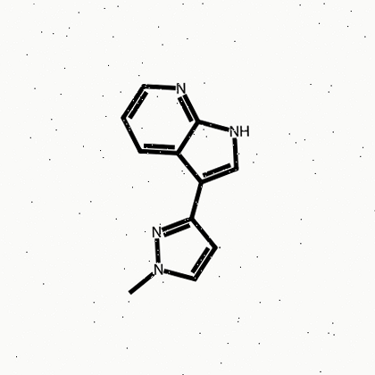 Cn1c[c]c(-c2c[nH]c3ncccc23)n1